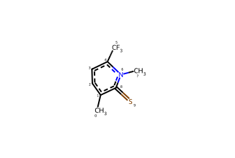 Cc1ccc(C(F)(F)F)n(C)c1=S